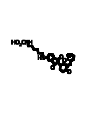 O=C(O)NCCCCCCNc1ccc2c(c1)C(=O)N(C1CCC(=O)N(Cc3ccccc3)C1=O)C2=O